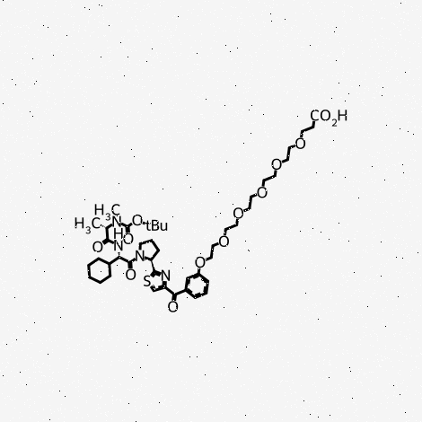 C[C@@H](C(=O)N[C@H](C(=O)N1CCC[C@H]1c1nc(C(=O)c2cccc(OCCOCCOCCOCCOCCOCCC(=O)O)c2)cs1)C1CCCCC1)N(C)C(=O)OC(C)(C)C